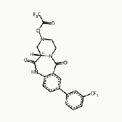 O=C1Nc2ccc(-c3cccc(C(F)(F)F)c3)cc2C(=O)N2CCN(OC(=O)C(F)(F)F)C[C@@H]12